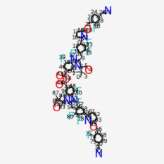 CC1(C)COCC1n1c(Cc2c(F)cc(-c3cccc(OCc4ccc(C#N)cc4F)n3)c(F)c2F)nc2c(F)cc(C(=O)OC(=O)c3cc(F)c4nc(Cc5c(F)cc(-c6cccc(OCc7ccc(C#N)cc7F)n6)c(F)c5F)n(C5COCC5(C)C)c4c3)cc21